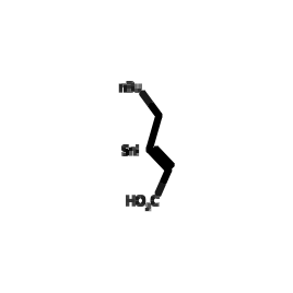 CCCCCC=CC(=O)O.[Sn]